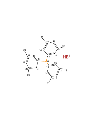 Br.Cc1cc(C)cc(P(c2cc(C)cc(C)c2)c2cc(C)cc(C)c2)c1